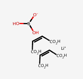 O=C(O)/C=C\C(=O)O.O=C(O)/C=C\C(=O)O.[Li+].[O-]B(O)O